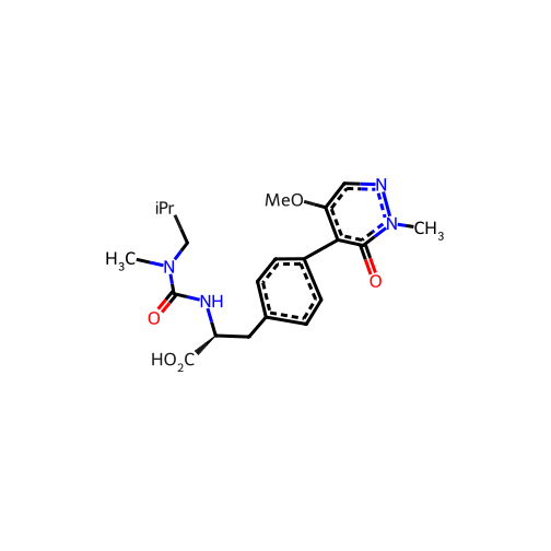 COc1cnn(C)c(=O)c1-c1ccc(C[C@H](NC(=O)N(C)CC(C)C)C(=O)O)cc1